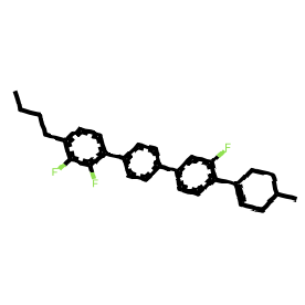 CCCCc1ccc(-c2ccc(-c3ccc(C4=CCC(C)CC4)c(F)c3)cc2)c(F)c1F